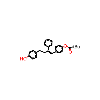 CC(C)(C)C(=O)Oc1ccc(C=C(CCc2ccc(O)cc2)c2ccccc2)cc1